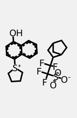 O=S(=O)([O-])C(F)(F)C(F)(F)C1CC2CCC1C2.Oc1ccc([S+]2CCCC2)c2ccccc12